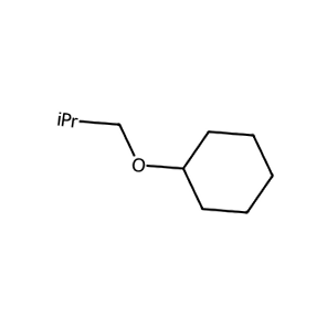 CC(C)COC1CCCCC1